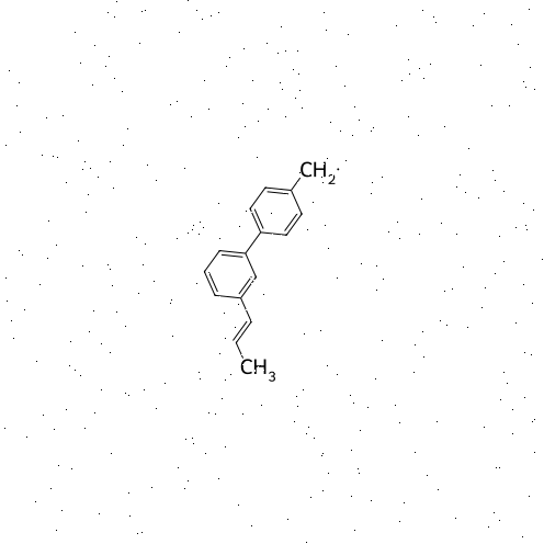 [CH2]c1ccc(-c2cccc(C=CC)c2)cc1